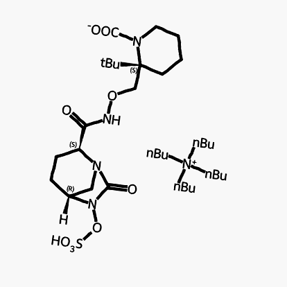 CC(C)(C)[C@]1(CONC(=O)[C@@H]2CC[C@@H]3CN2C(=O)N3OS(=O)(=O)O)CCCCN1C(=O)[O-].CCCC[N+](CCCC)(CCCC)CCCC